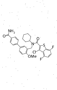 COc1ccc(-c2ccc(C(N)=O)cc2)cc1CN(C(=O)c1sc2c(F)ccc(F)c2c1Cl)C1CCCCC1